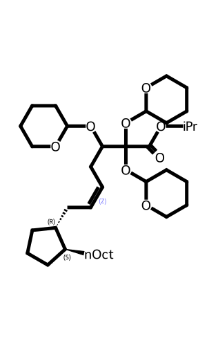 CCCCCCCC[C@H]1CCC[C@@H]1C/C=C\CC(OC1CCCCO1)C(OC1CCCCO1)(OC1CCCCO1)C(=O)OC(C)C